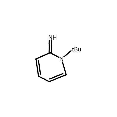 CC(C)(C)n1ccccc1=N